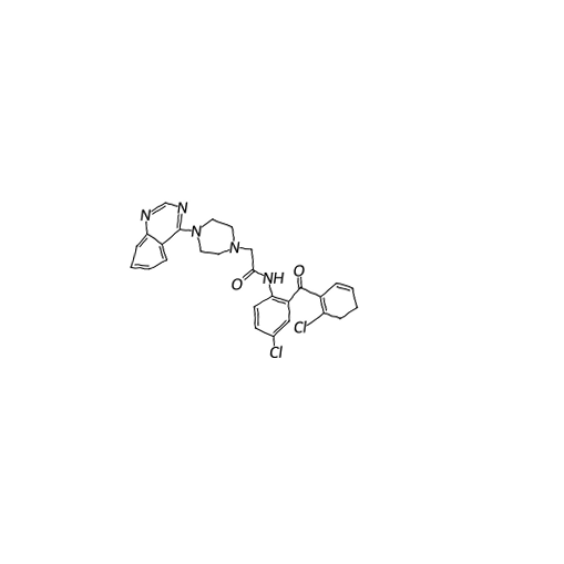 O=C(CN1CCN(c2ncnc3ccccc23)CC1)Nc1ccc(Cl)cc1C(=O)C1=C(Cl)CCC=C1